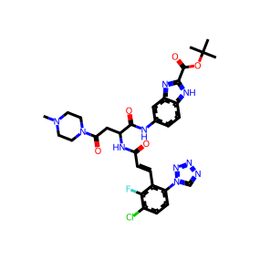 CN1CCN(C(=O)CC(NC(=O)/C=C/c2c(-n3cnnn3)ccc(Cl)c2F)C(=O)Nc2ccc3[nH]c(C(=O)OC(C)(C)C)nc3c2)CC1